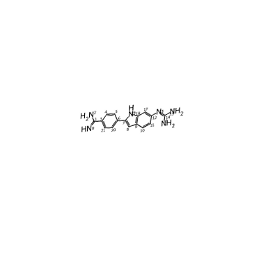 N=C(N)c1ccc(-c2cc3ccc(N=C(N)N)cc3[nH]2)cc1